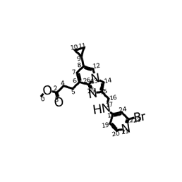 COC(=O)CCc1cc(C2CC2)cn2cc(CNc3ccnc(Br)c3)nc12